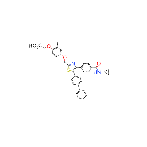 Cc1cc(OCc2nc(-c3ccc(C(=O)NC4CC4)cc3)c(-c3ccc(-c4ccccc4)cc3)s2)ccc1OCC(=O)O